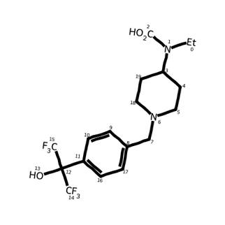 CCN(C(=O)O)C1CCN(Cc2ccc(C(O)(C(F)(F)F)C(F)(F)F)cc2)CC1